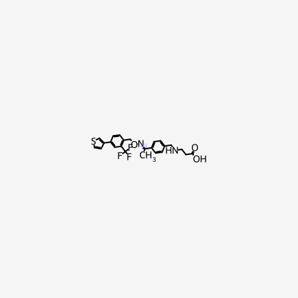 C/C(=N\OCc1ccc(-c2ccsc2)cc1C(F)(F)F)c1ccc(CNCCC(=O)O)cc1